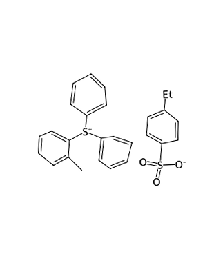 CCc1ccc(S(=O)(=O)[O-])cc1.Cc1ccccc1[S+](c1ccccc1)c1ccccc1